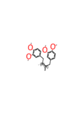 COc1ccc(C[C@@H](C)[C@H](C)Cc2ccc(OC)c(OC)c2)cc1OC